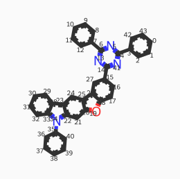 c1ccc(-c2nc(-c3ccccc3)nc(-c3ccc4oc5cc6c(cc5c4c3)c3ccccc3n6-c3ccccc3)n2)cc1